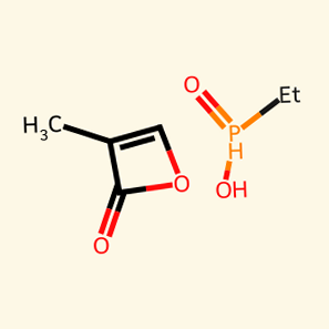 CC1=COC1=O.CC[PH](=O)O